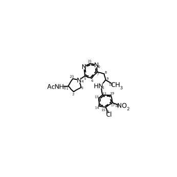 CC(=O)NC1CCN(c2cc(CC(C)Nc3ccc(Cl)c([N+](=O)[O-])c3)ncn2)C1